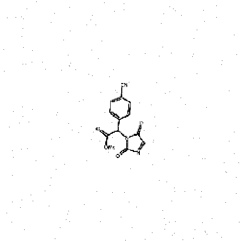 COC(=O)C(c1ccc(C#N)cc1)N1C(=O)C=NC1=O